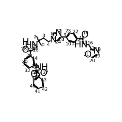 CC(C)(CCn1cnc(-c2ccc(C(=O)NCc3ncco3)cc2)c1)NC[C@H](O)c1cccc(NS(=O)(=O)c2ccccc2)c1